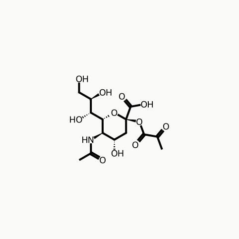 CC(=O)N[C@H]1[C@H]([C@H](O)[C@H](O)CO)O[C@](OC(=O)C(C)=O)(C(=O)O)C[C@@H]1O